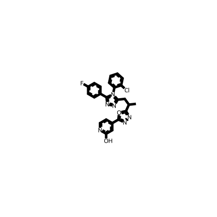 CC(Cc1nnc(-c2ccc(F)cc2)n1-c1ccccc1Cl)c1nnc(-c2ccnc(O)c2)o1